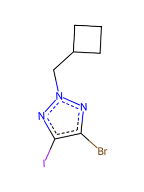 Brc1nn(CC2CCC2)nc1I